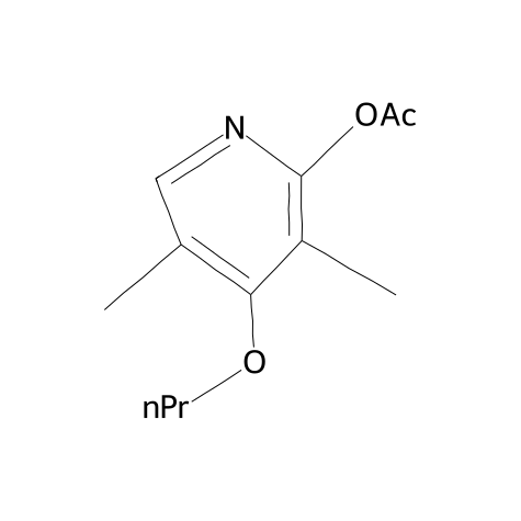 CCCOc1c(C)cnc(OC(C)=O)c1C